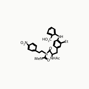 CCc1cc(CC(NC(C)=O)C(=O)N(CCc2ccc([N+](=O)[O-])cc2)C(=O)NC)ccc1Nc1ccccc1C(=O)O